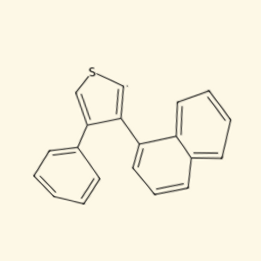 [c]1scc(-c2ccccc2)c1-c1cccc2ccccc12